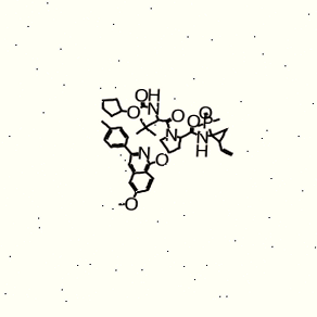 C=CC1CC1(NC(=O)C1CC(Oc2nc(-c3ccc(C)cc3)cc3cc(OC)ccc23)CN1C(=O)C(NC(=O)OC1CCCC1)C(C)(C)C)P(C)(C)=O